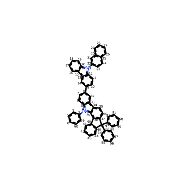 c1ccc(-n2c3ccc(-c4ccc5c(c4)c4ccccc4n5-c4ccc5ccccc5c4)cc3c3ccc4c(c32)-c2ccccc2C4(c2ccccc2)c2ccccc2)cc1